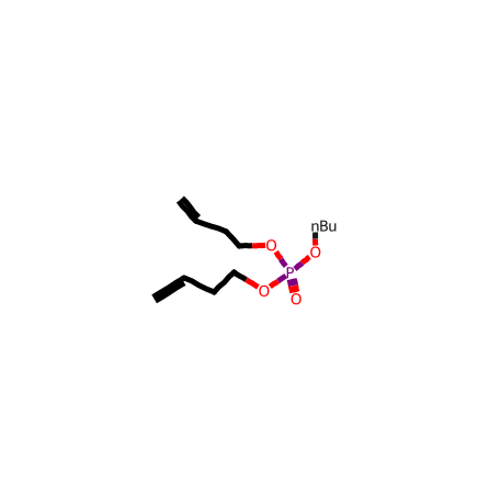 C=CCCOP(=O)(OCCC=C)OCCCC